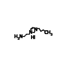 CCCCN1C=CN(CCCN)C1.I